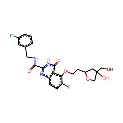 O=C(NCc1cccc(Cl)c1)c1nc2ccc(F)c(OCCC3CC(O)(CO)CO3)c2c(=O)[nH]1